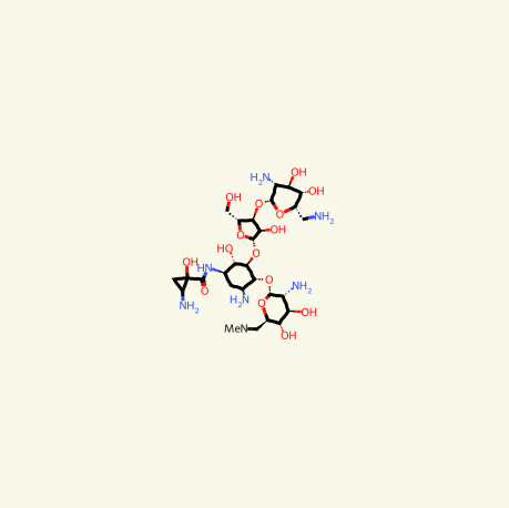 CNC[C@H]1O[C@H](O[C@H]2[C@H](O[C@@H]3O[C@H](CO)[C@@H](O[C@H]4O[C@@H](CN)[C@@H](O)[C@H](O)[C@H]4N)[C@H]3O)[C@@H](O)[C@H](NC(=O)C3(O)CC3N)C[C@@H]2N)[C@H](N)[C@@H](O)[C@@H]1O